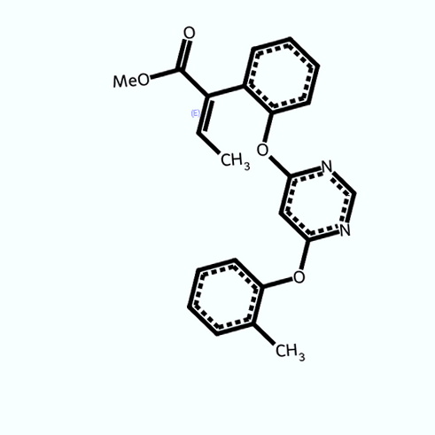 C/C=C(/C(=O)OC)c1ccccc1Oc1cc(Oc2ccccc2C)ncn1